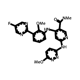 CNC(=O)c1cnc(Nc2ccc(OC)nn2)cc1Nc1cccc(-c2ncc(F)cn2)c1OC